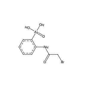 O=C(CBr)Nc1ccccc1[As](=O)(O)O